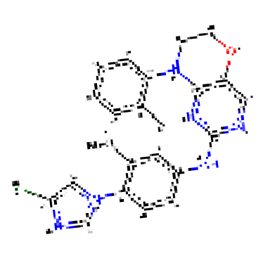 COc1cc(Nc2ncc3c(n2)N(c2ccccc2C)CCO3)ccc1-n1cnc(Cl)c1